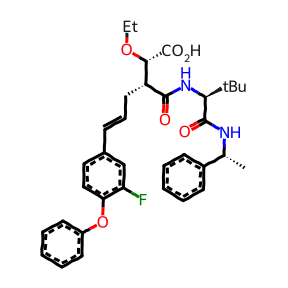 CCO[C@H](C(=O)O)[C@@H](C/C=C/c1ccc(Oc2ccccc2)c(F)c1)C(=O)N[C@H](C(=O)N[C@H](C)c1ccccc1)C(C)(C)C